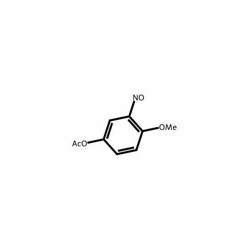 COc1ccc(OC(C)=O)cc1N=O